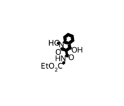 CCOC(=O)CNC(=O)c1c(O)c2ccccc2n(O)c1=O